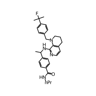 CCCNC(=O)c1ccc(C(C)Nc2nccc3c2N(Cc2ccc(C(C)(C)F)cc2)CCC3)cc1